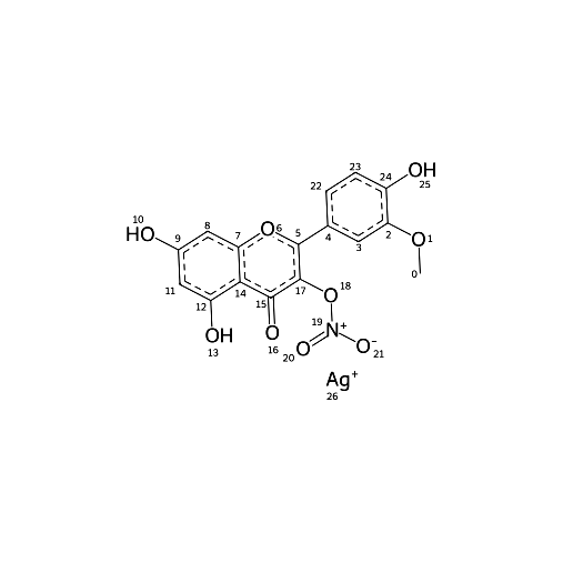 COc1cc(-c2oc3cc(O)cc(O)c3c(=O)c2O[N+](=O)[O-])ccc1O.[Ag+]